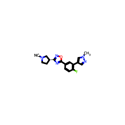 Cn1cc(-c2cc(-c3nc([C@@H]4CCN(C#N)C4)no3)ccc2F)cn1